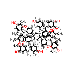 Cc1cc(C(c2cc(C)c(O)cc2C)c2cc(C3(c4cc(C)c(O)c(C(c5cc(C)c(O)cc5C)c5cc(C)c(O)cc5C)c4)CCC(c4cc(C)c(O)c(C(c5cc(C)c(O)cc5C)c5cc(C)c(O)cc5C)c4)(c4cc(C)c(O)c(C(c5cc(C)c(O)cc5C)c5cc(C)c(O)cc5C)c4)CC3)cc(C)c2O)c(C)cc1O